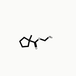 CC(C)(C)COC(=O)C1(C)CCCC1